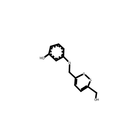 OCC1=CC=C(COc2cccc(O)c2)SS1